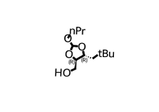 CCCOC1O[C@H](CO)[C@@H](CC(C)(C)C)O1